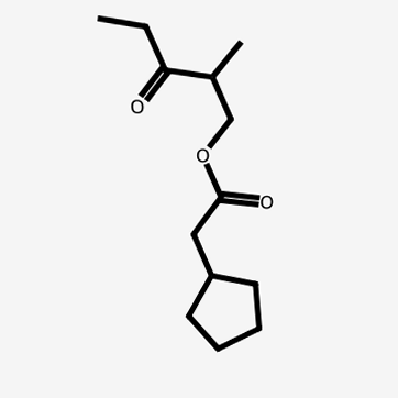 CCC(=O)C(C)COC(=O)CC1CCCC1